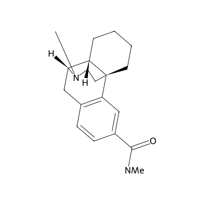 CNC(=O)c1ccc2c(c1)[C@@]13CCCC[C@H]1[C@@H](C2)N(C)CC3